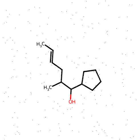 C/C=C/CC(C)C(O)C1CCCC1